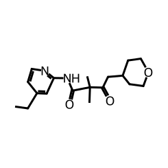 CCc1ccnc(NC(=O)C(C)(C)C(=O)CC2CCOCC2)c1